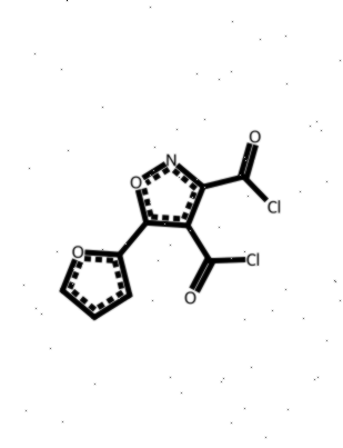 O=C(Cl)c1noc(-c2ccco2)c1C(=O)Cl